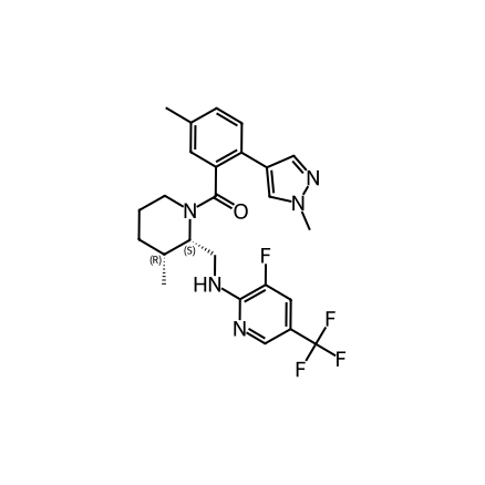 Cc1ccc(-c2cnn(C)c2)c(C(=O)N2CCC[C@@H](C)[C@H]2CNc2ncc(C(F)(F)F)cc2F)c1